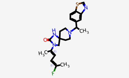 C/C(F)=C\C=C(/C)N1CC2(CCN(C(C)c3ccc4scnc4c3)CC2)NC1=O